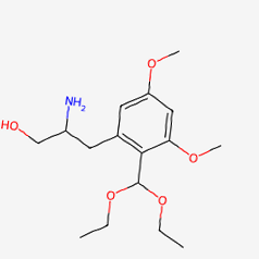 CCOC(OCC)c1c(CC(N)CO)cc(OC)cc1OC